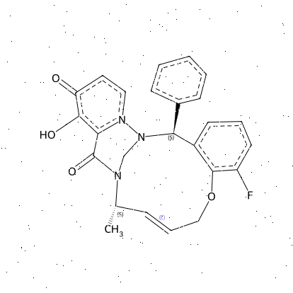 C[C@H]1/C=C/COc2c(F)cccc2[C@H](c2ccccc2)N2CN1C(=O)c1c(O)c(=O)ccn12